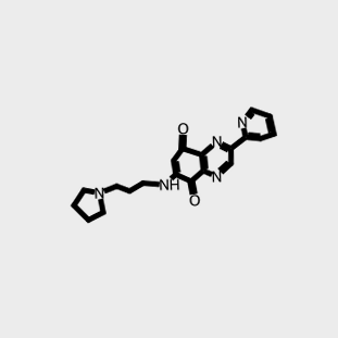 O=C1C=C(NCCCN2CCCC2)C(=O)c2ncc(-c3ccccn3)nc21